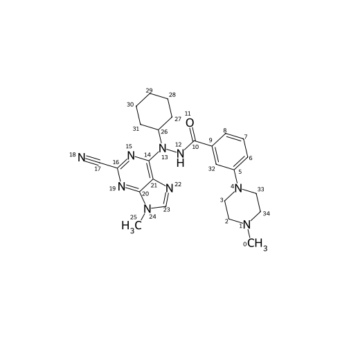 CN1CCN(c2cccc(C(=O)NN(c3nc(C#N)nc4c3ncn4C)C3CCCCC3)c2)CC1